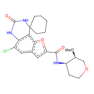 CO[C@H]1COCC[C@H]1NC(=O)c1cc2cc(Cl)c3c(c2o1)C1(CCCCC1)NC(=O)N3